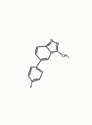 Cc1nnc2ccc(-c3ccc(F)cc3)cn12